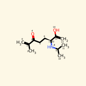 C=C(C)C(=O)CC[C@H](NC(C)C)C(=C)O